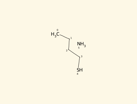 CCCCS.N